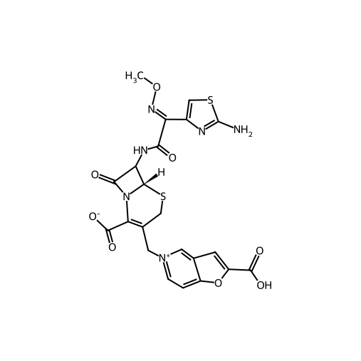 CON=C(C(=O)NC1C(=O)N2C(C(=O)[O-])=C(C[n+]3ccc4oc(C(=O)O)cc4c3)CS[C@@H]12)c1csc(N)n1